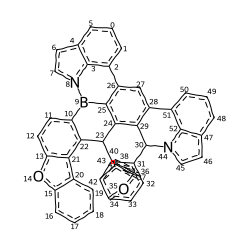 c1cc2c3c(c1)ccn3B1c3ccc4oc5ccccc5c4c3C3c4c1c-2cc1c4C(c2ccc4oc5ccccc5c4c23)n2ccc3cccc-1c32